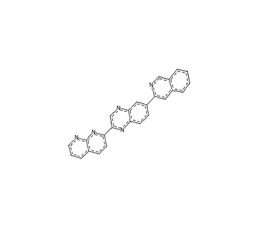 c1ccc2cc(-c3ccc4nc(-c5ccc6cccnc6n5)cnc4c3)ncc2c1